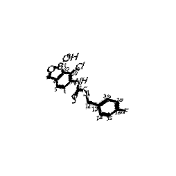 OB1OCc2ccc(NC(=S)SCc3ccc(F)cc3)c(Cl)c21